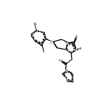 O=C(Cc1[nH]c(=S)n2c1C[C@@H](c1cc(Br)ccc1F)C2)n1ccnc1